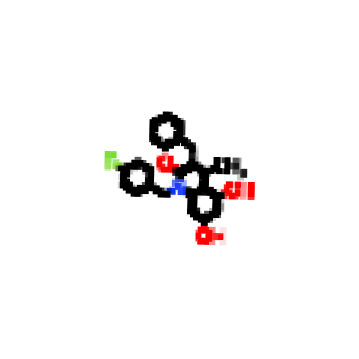 Cc1c(Cc2ccccc2)c(=O)n(Cc2ccc(F)cc2)c2cc(O)cc(O)c12